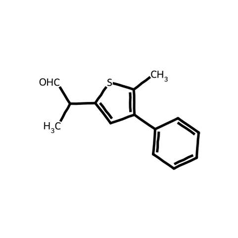 Cc1sc(C(C)C=O)cc1-c1ccccc1